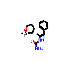 C/C(=C\c1ccccc1)NC(N)=O.C1CC[SiH2]OC1